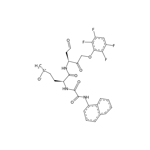 C[S+]([O-])CC[C@H](NC(=O)C(=O)Nc1cccc2ccccc12)C(=O)N[C@@H](CC=O)C(=O)COc1c(F)c(F)cc(F)c1F